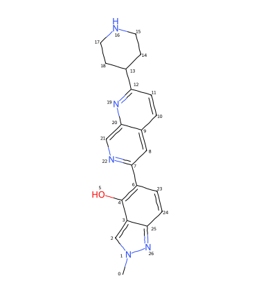 Cn1cc2c(O)c(-c3cc4ccc(C5CCNCC5)nc4cn3)ccc2n1